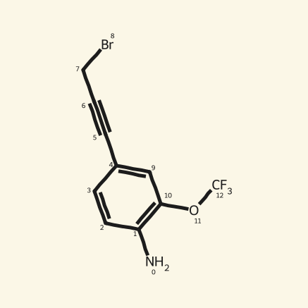 Nc1ccc(C#CCBr)cc1OC(F)(F)F